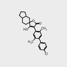 Cc1cc(-c2ccc(Cl)cc2)c(C)cc1C1=C(O)C2(CCC3CCCC3C2)OC1=O